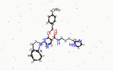 COc1ccc(COc2nc(N3CCc4ccccc43)ncc2C(=O)NCCCc2ncc[nH]2)cc1